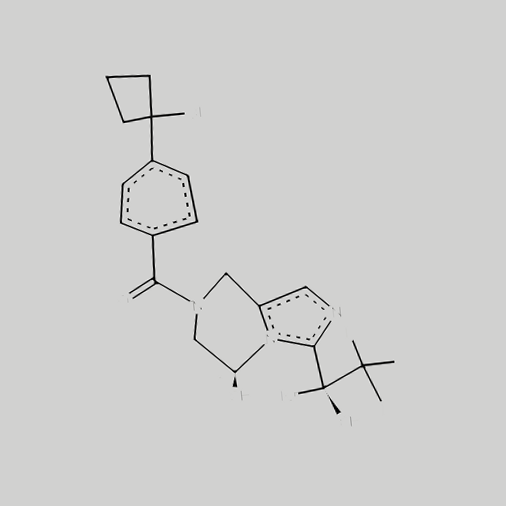 C[C@H]1CN(C(=O)c2ccc(C3(O)CCC3)cc2)Cc2cnc([C@@](C)(O)C(F)(F)F)n21